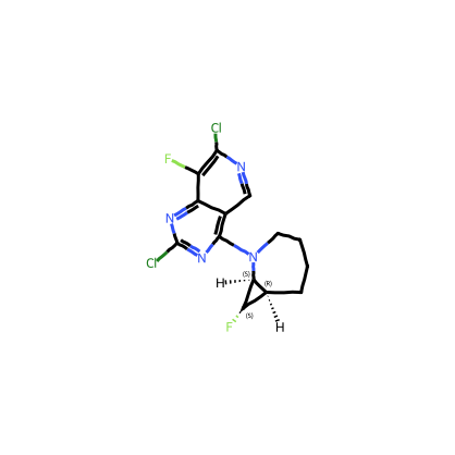 Fc1c(Cl)ncc2c(N3CCCC[C@H]4[C@H](F)[C@H]43)nc(Cl)nc12